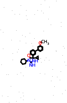 COc1cccc(-c2cccc(C3(C4CC4)NC(=N)N(C4CCCCC4)C3=O)c2)c1